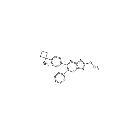 COc1nc2nc(-c3ccc(C4(N)CCC4)cc3)c(-c3ccccc3)cn2n1